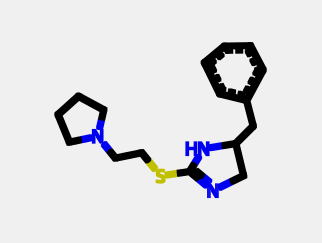 c1ccc(CC2CN=C(SCCN3CCCC3)N2)cc1